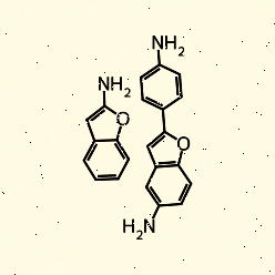 Nc1cc2ccccc2o1.Nc1ccc(-c2cc3cc(N)ccc3o2)cc1